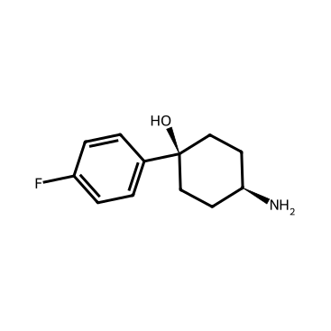 N[C@H]1CC[C@](O)(c2ccc(F)cc2)CC1